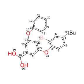 CC(C)(C)c1ccc2c(c1)B1c3ccccc3Oc3cc(C(O)O)cc(c31)O2